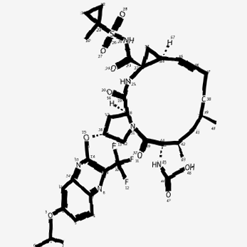 CC(C)Oc1ccc2nc(C(F)(F)F)c(O[C@@H]3C[C@H]4C(=O)N[C@]5(C(=O)NS(=O)(=O)C6(C)CC6)C[C@H]5C=CCC[C@@H](C)C[C@@H](C)[C@H](NC(=O)O)C(=O)N4C3)nc2c1